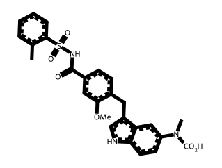 COc1cc(C(=O)NS(=O)(=O)c2ccccc2C)ccc1Cc1c[nH]c2ccc(N(C)C(=O)O)cc12